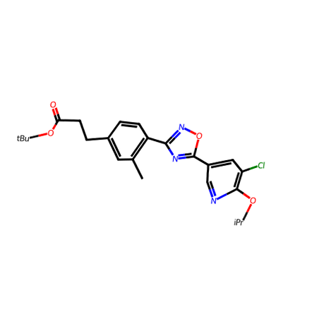 Cc1cc(CCC(=O)OC(C)(C)C)ccc1-c1noc(-c2cnc(OC(C)C)c(Cl)c2)n1